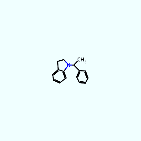 CC(c1ccccc1)N1CCc2ccccc21